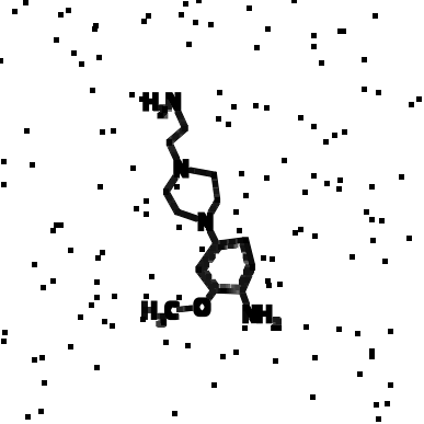 COc1cc(N2CCN(CCN)CC2)ccc1N